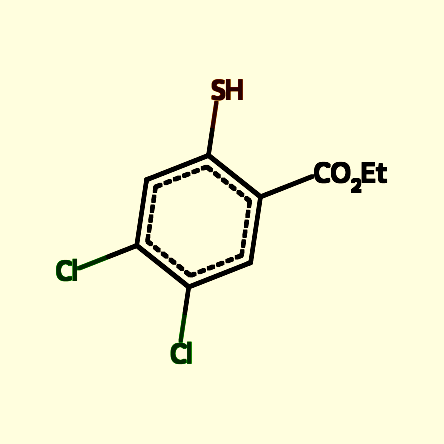 CCOC(=O)c1cc(Cl)c(Cl)cc1S